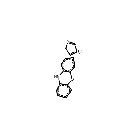 C1=CN=NC1.O.c1ccc2c(c1)Nc1ccccc1O2